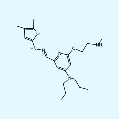 CCCN(CCC)c1cc(/C=N/Nc2cc(C)c(C)o2)nc(OCCNC)c1